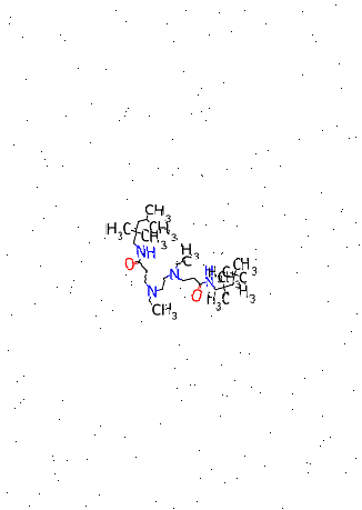 CCN(CCC(=O)NCC(C)(C)CC(C)C)CCN(CC)CCC(=O)NCC(C)(C)CC(C)(C)C